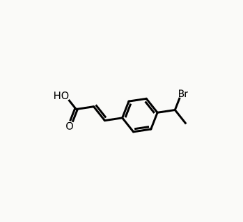 CC(Br)c1ccc(C=CC(=O)O)cc1